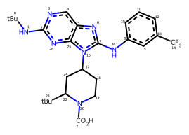 CC(C)(C)Nc1ncc2nc(Nc3cccc(C(F)(F)F)c3)n(C3CCN(C(=O)O)C(C(C)(C)C)C3)c2n1